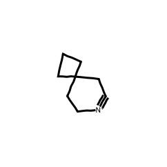 C1#[N+]CCC2(C1)CCC2